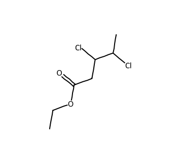 CCOC(=O)CC(Cl)C(C)Cl